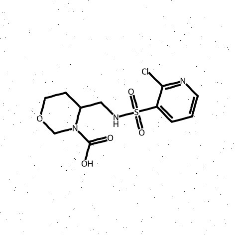 O=C(O)N1COCCC1CNS(=O)(=O)c1cccnc1Cl